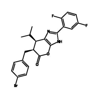 CC(C)[C@H]1c2nc(-c3cc(F)ccc3F)[nH]c2OC(=O)[C@H]1Cc1ccc(Br)cc1